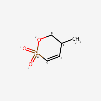 CC1C=CS(=O)(=O)OC1